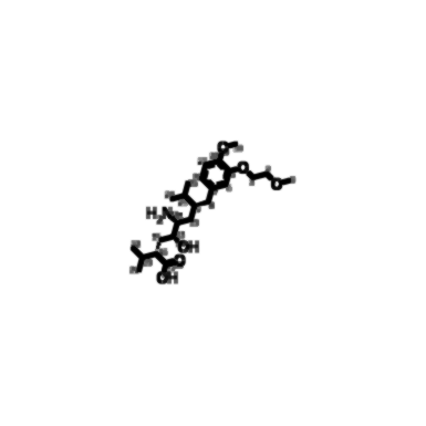 COCCOc1cc(C[C@@H](C[C@H](N)[C@@H](O)C[C@H](C(=O)O)C(C)C)C(C)C)ccc1OC